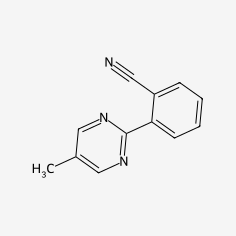 Cc1cnc(-c2ccccc2C#N)nc1